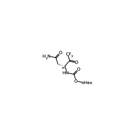 CCCCCCOC(=O)N[C@H](CC(N)=O)C(=O)C(F)(F)F